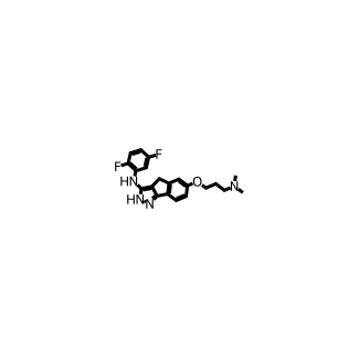 CN(C)CCCOc1ccc2c(c1)Cc1c-2n[nH]c1Nc1cc(F)ccc1F